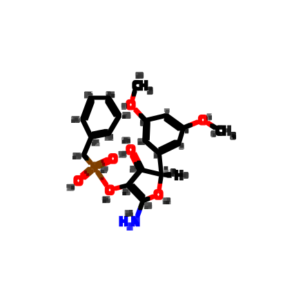 [2H][C@@]1(c2cc(OC)cc(OC)c2)OC(N)=C(OS(=O)(=O)Cc2ccccc2)C1=O